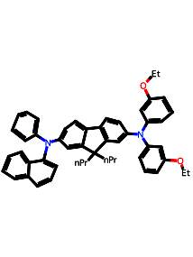 CCCC1(CCC)c2cc(N(c3cccc(OCC)c3)c3cccc(OCC)c3)ccc2-c2ccc(N(c3ccccc3)c3cccc4ccccc34)cc21